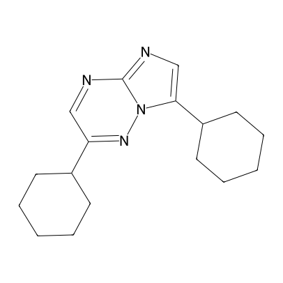 c1nc2ncc(C3CCCCC3)n2nc1C1CCCCC1